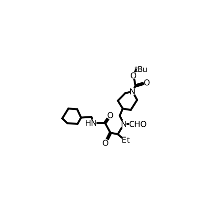 CCC(C(=O)C(=O)NCC1CCCCC1)N(C=O)CC1CCN(C(=O)OC(C)(C)C)CC1